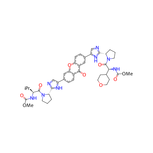 COC(=O)N[C@H](C(=O)N1CCC[C@H]1c1ncc(-c2ccc3c(=O)c4cc(-c5cnc([C@@H]6CCCN6C(=O)[C@@H](NC(=O)OC)C6CCOCC6)[nH]5)ccc4oc3c2)[nH]1)C(C)C